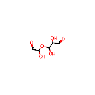 O=CC(O)OC(O)C(O)C=O